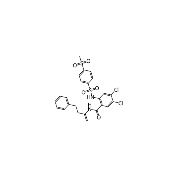 C=C(CCc1ccccc1)NC(=O)c1cc(Cl)c(Cl)cc1NS(=O)(=O)c1ccc(S(C)(=O)=O)cc1